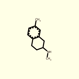 CNC1CCc2ccc(C)cc2C1